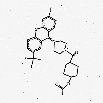 CC(=O)OC1CCC(C(=O)N2CCC(=C3c4ccc(F)cc4Sc4ccc(C(F)(F)F)cc43)CC2)CC1